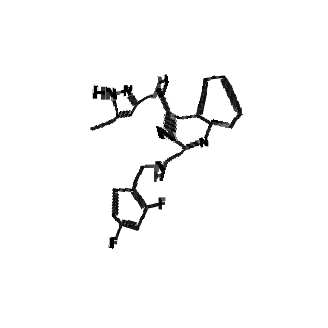 Cc1cc(Nc2nc(NCc3ccc(F)cc3F)nc3ccccc23)n[nH]1